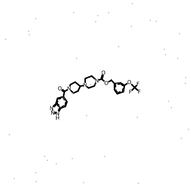 O=C(OCc1cccc(OC(F)(F)F)c1)N1CCN(C2CCN(C(=O)c3ccc4[nH]nnc4c3)CC2)CC1